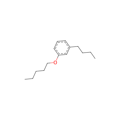 CCCCCOc1cccc(CCCC)c1